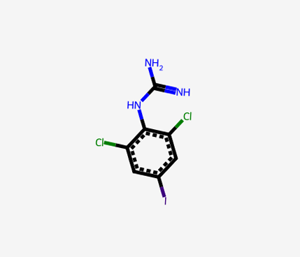 N=C(N)Nc1c(Cl)cc(I)cc1Cl